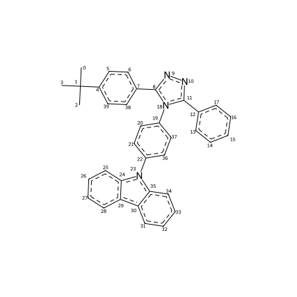 CC(C)(C)c1ccc(-c2nnc(-c3ccccc3)n2-c2ccc(-n3c4ccccc4c4ccccc43)cc2)cc1